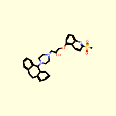 CS(=O)(=O)c1ccc2c(OCC(O)CN3CCN(C4c5ccccc5CCc5ccccc54)CC3)cccc2n1